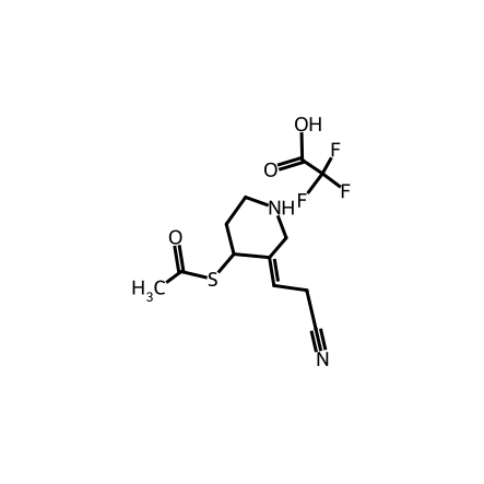 CC(=O)SC1CCNC/C1=C\CC#N.O=C(O)C(F)(F)F